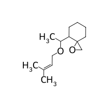 CC(C)=CCOC(C)C1CCCCC12CO2